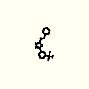 FC(F)(F)c1cccc(-c2nnc(SCc3ccccc3)o2)c1